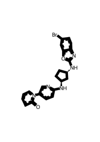 O=c1ccccn1-c1ccc(N[C@H]2CC[C@H](Nc3nc4ccc(Br)cc4o3)C2)nc1